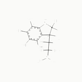 [2H]c1c([2H])c(O)c2c(c1[2H])NC([2H])(C)C2(C)C([2H])([2H])C([2H])([2H])N([2H])[2H]